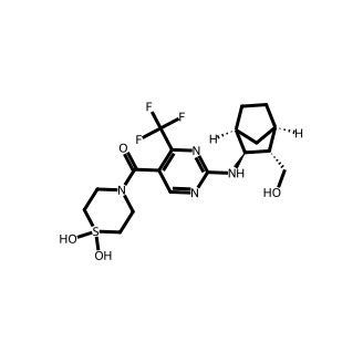 O=C(c1cnc(N[C@H]2[C@H]3CC[C@H](C3)[C@@H]2CO)nc1C(F)(F)F)N1CCS(O)(O)CC1